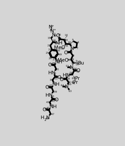 CC[C@H](C)[C@@H]([C@@H](CC(=O)N1CCC[C@H]1[C@H](OC)[C@@H](C)C(=O)N[C@H](CN=[N+]=[N-])Cc1ccc(NC(=O)CNC(=O)CNC(=O)CNC(=O)CNC(=O)CN)cc1)OC)N(C)C(=O)[C@@H](NC(=O)[C@H](C(C)C)N(C)C)C(C)C